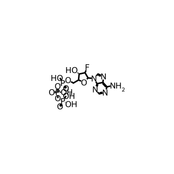 Nc1ncnc2c1ncn2C1OC(COP(=O)(O)OP(=O)(O)OP(=O)(O)O)[C@H](O)C1F